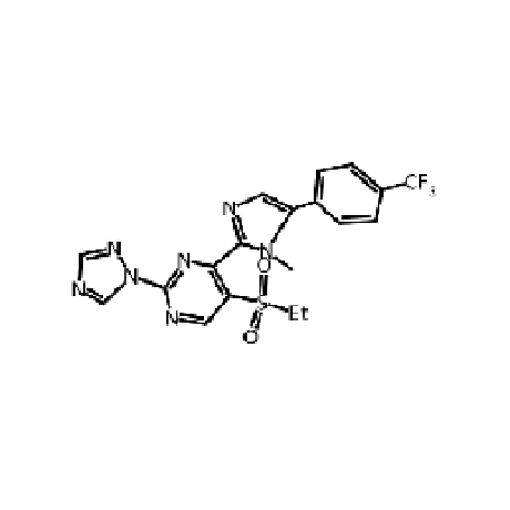 CCS(=O)(=O)c1cnc(-n2cncn2)nc1-c1ncc(-c2ccc(C(F)(F)F)cc2)n1C